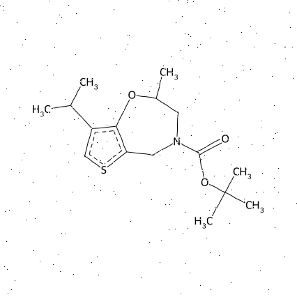 CC1CN(C(=O)OC(C)(C)C)Cc2scc(C(C)C)c2O1